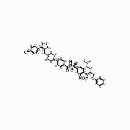 CN(C)CC[C@H](CSc1ccccc1)Nc1ccc(S(=O)(=O)NC(=O)c2ccc(N3CCN(CC4=C(c5ccc(Cl)cc5)CCC4)CC3)cc2)cc1[N+](=O)[O-]